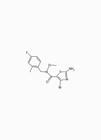 CON(Cc1ccc(F)cc1C)C(=O)c1sc(N)nc1Br